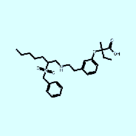 CCCCCC(CNCCc1cccc(OC(C)(CC)C(=O)O)c1)S(=O)(=O)Cc1ccccc1